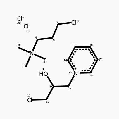 C[N+](C)(C)CCCCl.OC(CCl)C[n+]1ccccc1.[Cl-].[Cl-]